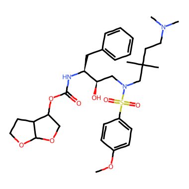 COc1ccc(S(=O)(=O)N(C[C@@H](O)[C@H](Cc2ccccc2)NC(=O)OC2COC3OCCC23)CC(C)(C)CCN(C)C)cc1